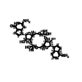 Nc1nc2c(ncn2[C@@H]2O[C@@H]3CO[PH](O)(S)O[C@H]4[C@@H](F)[C@H](n5cnc6c(N)ncnc65)O[C@@H]4CO[PH](O)(S)O[C@H]3[C@H]2O)c(=O)[nH]1